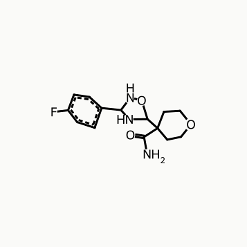 NC(=O)C1(C2NC(c3ccc(F)cc3)NO2)CCOCC1